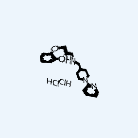 Cl.Cl.c1ccc(N2CCC(CNCC3COc4ccccc4O3)CC2)nc1